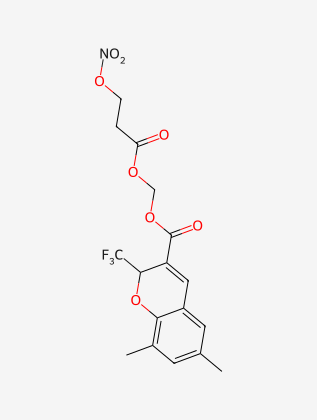 Cc1cc(C)c2c(c1)C=C(C(=O)OCOC(=O)CCO[N+](=O)[O-])C(C(F)(F)F)O2